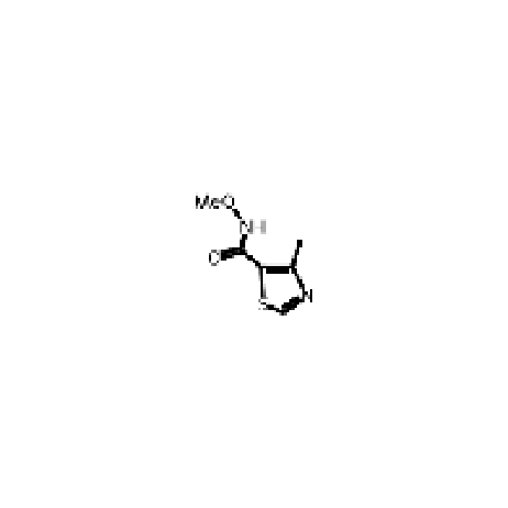 CONC(=O)c1scnc1C